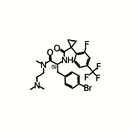 CN(C)CCN(C)C(=O)[C@H](Cc1ccc(Br)cc1)NC(=O)C1(c2ccc(C(F)(F)F)cc2F)CC1